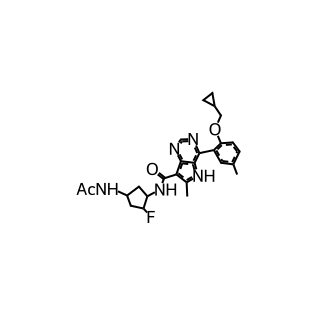 CC(=O)NC1CC(F)C(NC(=O)c2c(C)[nH]c3c(-c4cc(C)ccc4OCC4CC4)ncnc23)C1